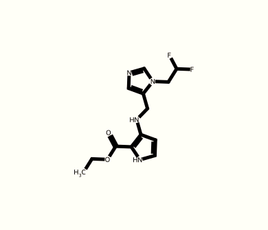 CCOC(=O)c1[nH]ccc1NCc1cncn1CC(F)F